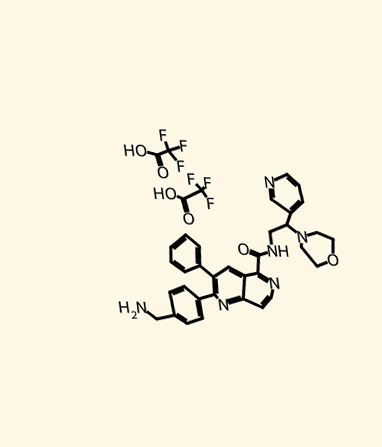 NCc1ccc(-c2nc3ccnc(C(=O)NCC(c4cccnc4)N4CCOCC4)c3cc2-c2ccccc2)cc1.O=C(O)C(F)(F)F.O=C(O)C(F)(F)F